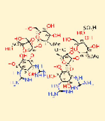 CN[C@@H]1[C@H](O[C@H]2[C@H](O[C@H]3[C@H](O)[C@@H](O)[C@H](NC(=N)N)[C@@H](O)[C@@H]3NC(=N)N)O[C@@H](C)[C@]2(O)C=O)O[C@@H](CO)[C@H](O)[C@H]1O.CN[C@@H]1[C@H](O[C@H]2[C@H](O[C@H]3[C@H](O)[C@@H](O)[C@H](NC(=N)N)[C@@H](O)[C@@H]3NC(=N)N)O[C@@H](C)[C@]2(O)CO)O[C@@H](CO)[C@H](O)[C@H]1O.O=S(=O)(O)O.O=S(=O)(O)O